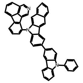 c1ccc(-n2c3ccccc3c3cc(-c4ccc5c(c4)c4cc6ccccc6cc4n5-c4cccc5c4-c4cncc6cccc-5c46)ccc32)cc1